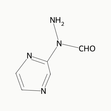 NN(C=O)c1cnccn1